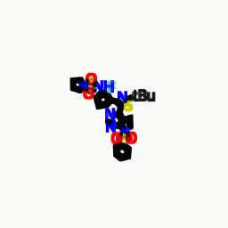 CC(C)(C)c1nc(-c2cccc(NS(=O)(=O)N3CCCC3)c2F)c(-c2ncnc3c2ccn3S(=O)(=O)c2ccccc2)s1